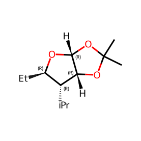 CC[C@H]1O[C@@H]2OC(C)(C)O[C@@H]2[C@@H]1C(C)C